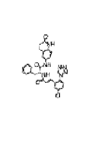 O=C(/C=C/c1cc(Cl)ccc1-n1cnnn1)N[C@@H](Cc1ccccc1)C(=O)Nc1ccc2c(c1)CCC(=O)N2